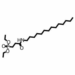 CCCCCCCCCCCCCCNC(=O)CCP(=O)(OCC)OCC